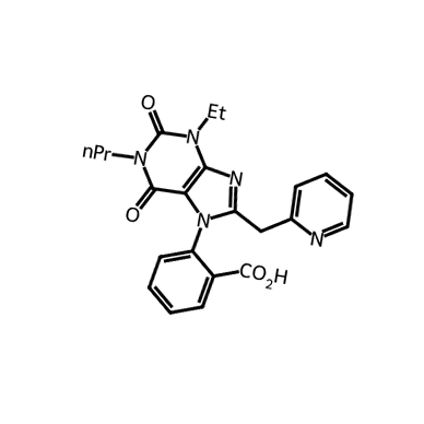 CCCn1c(=O)c2c(nc(Cc3ccccn3)n2-c2ccccc2C(=O)O)n(CC)c1=O